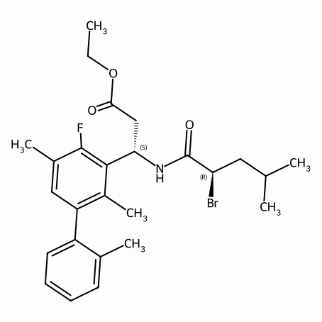 CCOC(=O)C[C@H](NC(=O)[C@H](Br)CC(C)C)c1c(C)c(-c2ccccc2C)cc(C)c1F